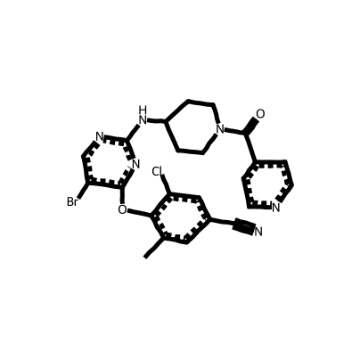 Cc1cc(C#N)cc(Cl)c1Oc1nc(NC2CCN(C(=O)c3ccncc3)CC2)ncc1Br